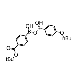 CCCCOc1ccc(B(O)OB(O)c2ccc(C(=O)OC(C)(C)C)cc2)cc1